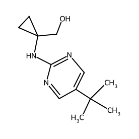 CC(C)(C)c1cnc(NC2(CO)CC2)nc1